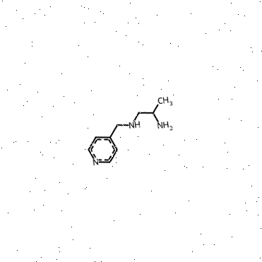 CC(N)CNCc1ccncc1